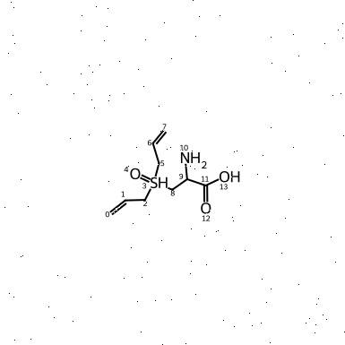 C=CC[SH](=O)(CC=C)CC(N)C(=O)O